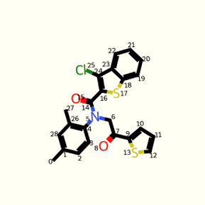 Cc1ccc(N(CC(=O)c2cccs2)C(=O)c2sc3ccccc3c2Cl)c(C)c1